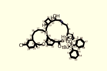 C[C@@H](C[C@@H]1CC/C=C/C(O)[C@@H]2CC[C@H]2CN2CCCCC3C=C(Cl)C=CC3(C)COc3ccc(cc32)C(=O)NS1(=O)=O)O[Si](c1ccccc1)(c1ccccc1)C(C)(C)C